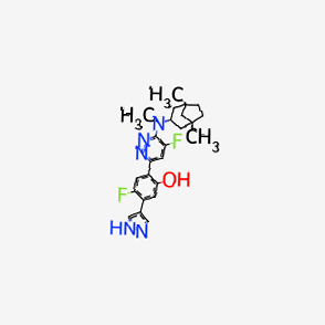 CN(c1nnc(-c2cc(F)c(-c3cn[nH]c3)cc2O)cc1F)[C@H]1C[C@]2(C)CC[C@](C)(C1)C2